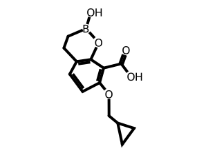 O=C(O)c1c(OCC2CC2)ccc2c1OB(O)CC2